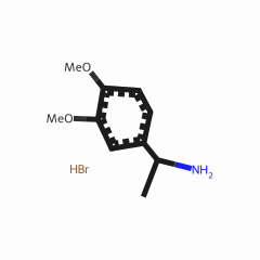 Br.COc1ccc(C(C)N)cc1OC